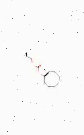 C=CCOC(=O)O/C1=C/CCCCCC1